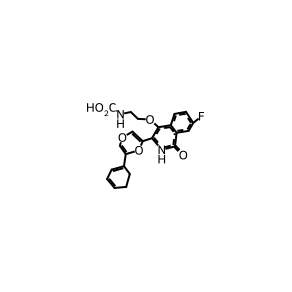 O=C(O)NCCOc1c(C2=COC=C(C3=CC=CCC3)O2)[nH]c(=O)c2cc(F)ccc12